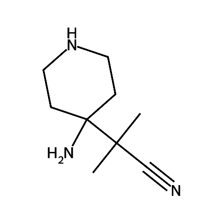 CC(C)(C#N)C1(N)CCNCC1